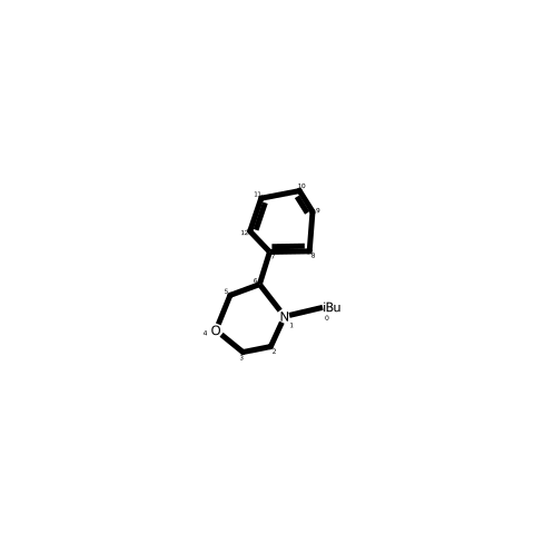 CCC(C)N1CCOCC1c1ccccc1